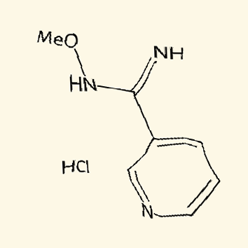 CONC(=N)c1cccnc1.Cl